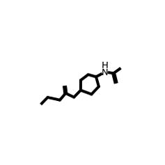 C=C(CCC)CC1CCC(NC(=C)C)CC1